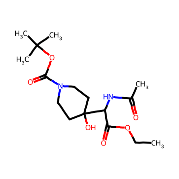 CCOC(=O)C(NC(C)=O)C1(O)CCN(C(=O)OC(C)(C)C)CC1